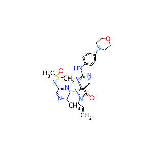 C=CCn1c(=O)c2cnc(Nc3ccc(N4CCOCC4)cc3)nc2n1C1N=C(N=S(C)(C)=O)C=NC1C